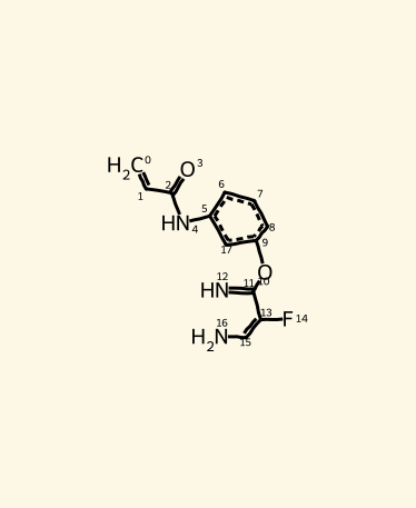 C=CC(=O)Nc1cccc(OC(=N)/C(F)=C\N)c1